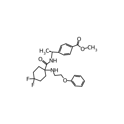 COC(=O)c1ccc([C@H](C)NC(=O)C2(NCCOc3ccccc3)CCC(F)(F)CC2)cc1